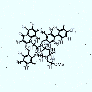 [2H]c1c([2H])c(F)c(F)c(CSc2c([2H])c(=O)c3c([2H])c([2H])c([2H])c([2H])c3n2C([2H])([2H])C(=O)N(Cc2c([2H])c([2H])c(-c3c([2H])c([2H])c(C(F)(F)F)c(C)c3[2H])c([2H])c2[2H])C2([2H])C([2H])([2H])C([2H])([2H])N(CC([2H])([2H])OC)C([2H])([2H])C2([2H])[2H])c1[2H]